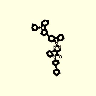 O=c1c2cnc(-n3c4ccccc4c4cc(-c5ccc6c(c5)c5ccccc5n6-c5ccccc5)ccc43)nc2c2ccccc2n1-c1ccc(-c2ccccc2)cc1